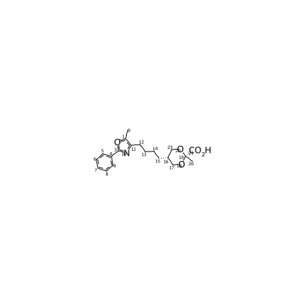 Cc1oc(-c2ccccc2)nc1CCCC[C@H]1CO[C@@](C)(C(=O)O)OC1